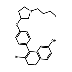 Oc1ccc2c(c1)C(c1ccc(OC3CCN(CCCF)C3)cc1)=C(Br)CC2